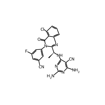 C[C@H](Nc1nc(N)nc(N)c1C#N)c1nc2cccc(Cl)c2c(=O)n1-c1cc(F)cc(C#N)c1